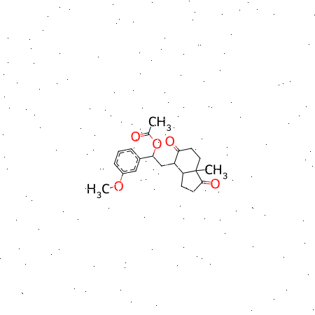 COc1cccc(C(CC2C(=O)CCC3(C)C(=O)CCC23)OC(C)=O)c1